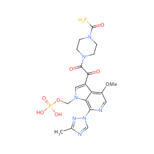 COc1cnc(-n2cnc(C)n2)c2c1c(C(=O)C(=O)N1CCN(C(=O)P)CC1)cn2COP(=O)(O)O